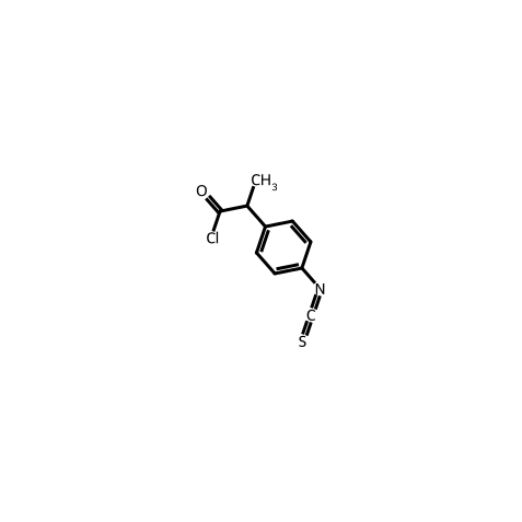 CC(C(=O)Cl)c1ccc(N=C=S)cc1